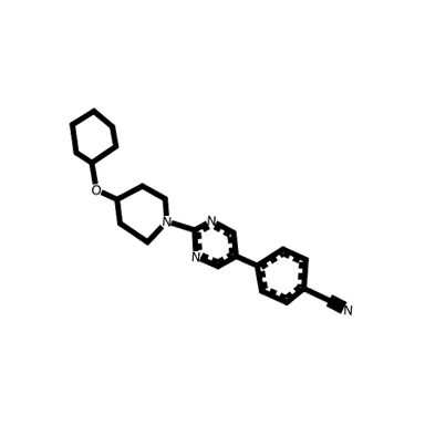 N#Cc1ccc(-c2cnc(N3CCC(OC4CCCCC4)CC3)nc2)cc1